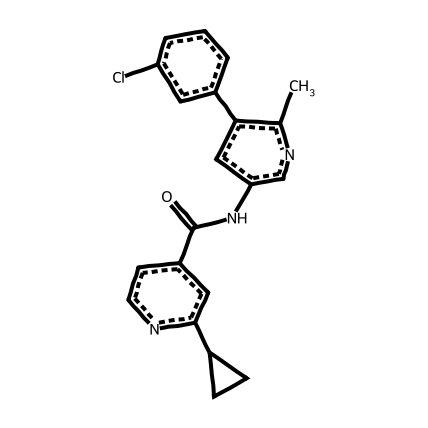 Cc1ncc(NC(=O)c2ccnc(C3CC3)c2)cc1-c1cccc(Cl)c1